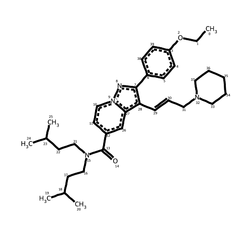 CCOc1ccc(-c2nn3ccc(C(=O)N(CCC(C)C)CCC(C)C)cc3c2/C=C/CN2CCCCC2)cc1